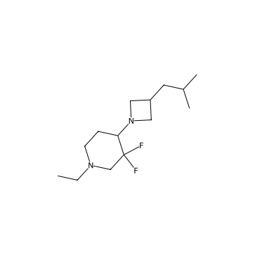 CCN1CCC(N2CC(CC(C)C)C2)C(F)(F)C1